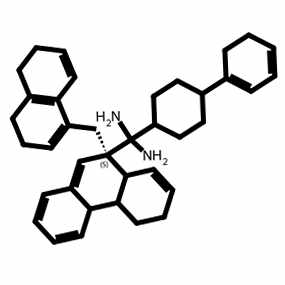 NC(N)(C1CCC(C2=CC=CCC2)CC1)[C@]1(CC2=CCCC3=C2C=CCC3)C=C2C=CC=CC2C2CCC=CC21